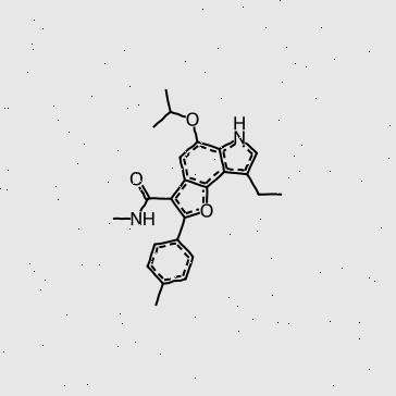 CCc1c[nH]c2c(OC(C)C)cc3c(C(=O)NC)c(-c4ccc(C)cc4)oc3c12